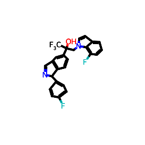 OC(Cn1ccc2cccc(F)c21)(c1ccc2c(c1)C=NC2c1ccc(F)cc1)C(F)(F)F